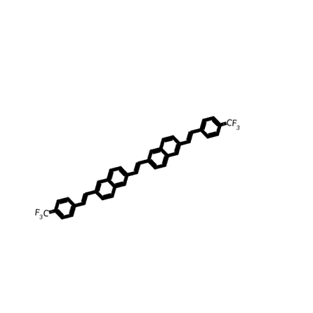 FC(F)(F)c1ccc(/C=C/c2ccc3cc(/C=C/c4ccc5cc(/C=C/c6ccc(C(F)(F)F)cc6)ccc5c4)ccc3c2)cc1